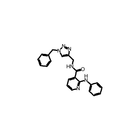 O=C(NCc1cn(Cc2ccccc2)nn1)c1cccnc1Nc1ccccc1